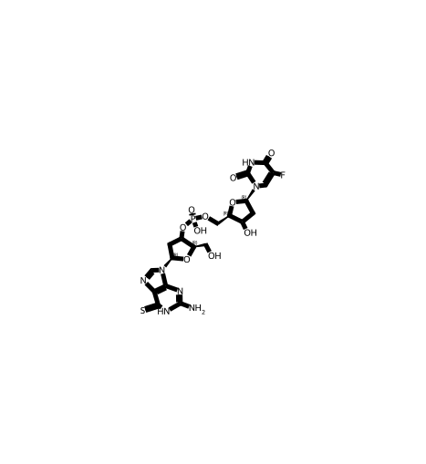 Nc1nc2c(ncn2[C@H]2CC(OP(=O)(O)OC[C@H]3O[C@@H](n4cc(F)c(=O)[nH]c4=O)CC3O)[C@@H](CO)O2)c(=S)[nH]1